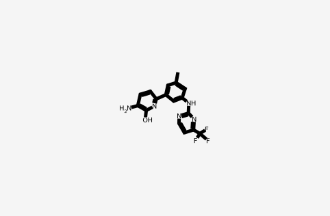 Cc1cc(Nc2nccc(C(F)(F)F)n2)cc(-c2ccc(N)c(O)n2)c1